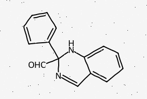 O=CC1(c2ccccc2)N=Cc2ccccc2N1